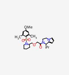 COc1cc(C)c(S(=O)(=O)N2CCCCC2COCC(=O)N2CCn3cccc3C2C(C)C)c(C)c1